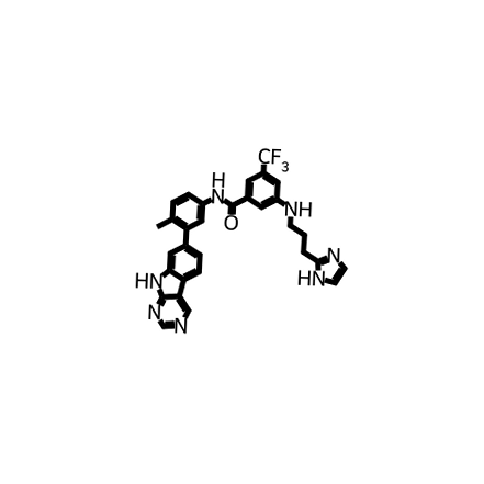 Cc1ccc(NC(=O)c2cc(NCCCc3ncc[nH]3)cc(C(F)(F)F)c2)cc1-c1ccc2c(c1)[nH]c1ncncc12